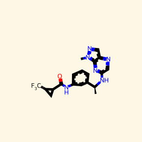 C[C@H](Nc1cnc2cnn(C)c2n1)c1cccc(NC(=O)C2CC2C(F)(F)F)c1